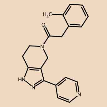 Cc1ccccc1CC(=O)N1CCc2[nH]nc(-c3ccncc3)c2C1